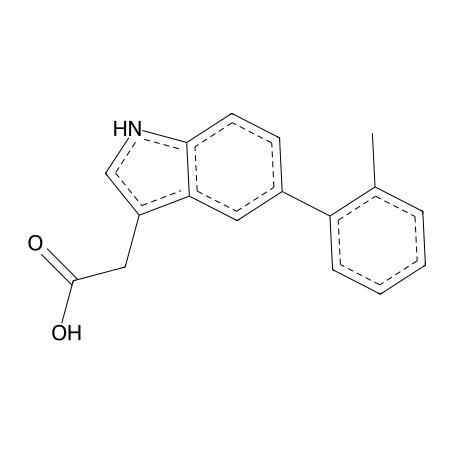 Cc1ccccc1-c1ccc2[nH]cc(CC(=O)O)c2c1